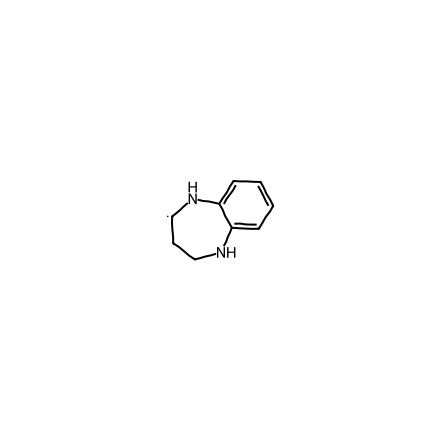 [CH]1CCNc2ccccc2N1